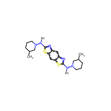 CC(=O)N(c1nc2cc3nc(N(C(C)=O)N4CCCC(C)C4)sc3cc2s1)N1CCCC(C)C1